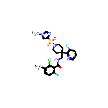 Cc1ccc(F)c(C(=O)NCC2(c3ncccc3F)CCN(S(=O)(=O)c3cn(C)cn3)CC2)c1Cl